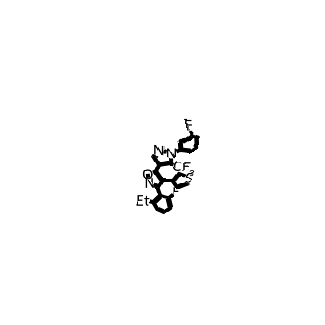 CCc1cccc(F)c1-c1noc(-c2cnn(-c3cccc(F)c3)c2C(F)(F)F)c1-c1ccsc1